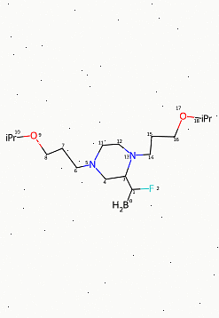 BC(F)C1CN(CCCOC(C)C)CCN1CCCOC(C)C